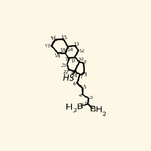 BC(B)CCCCC1CCC2C3CCC4CCCCC4C3CCC12S